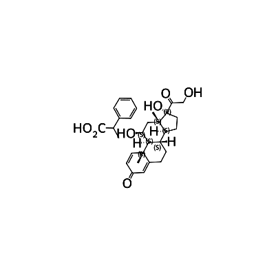 CC(C(=O)O)c1ccccc1.C[C@]12C=CC(=O)C=C1CC[C@@H]1[C@@H]2[C@@H](O)C[C@@]2(C)[C@H]1CC[C@]2(O)C(=O)CO